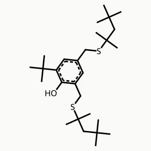 CC(C)(C)CC(C)(C)SCc1cc(CSC(C)(C)CC(C)(C)C)c(O)c(C(C)(C)C)c1